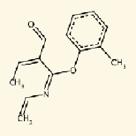 C=C/N=C(Oc1ccccc1C)\C(C=O)=C/C